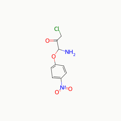 NC(Oc1ccc([N+](=O)[O-])cc1)C(=O)CCl